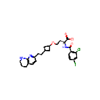 O=C(N[C@@H](CCOC1CC(CCc2ccc3c(n2)NCCC3)C1)C(=O)O)c1ccc(F)cc1Cl